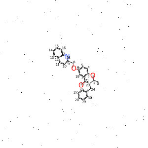 CC1Oc2ccc(OCc3ccc4ccccc4n3)cc2C(=O)C1Cc1ccccc1